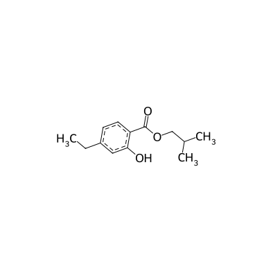 CCc1ccc(C(=O)OCC(C)C)c(O)c1